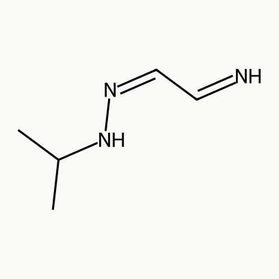 CC(C)N/N=C\C=N